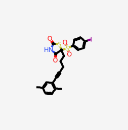 Cc1ccc(C)c(C#CCCCC2(S(=O)(=O)c3ccc(I)cc3)SC(=O)NC2=O)c1